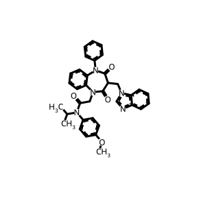 COc1ccc(N(C(=O)CN2C(=O)C(Cn3cnc4ccccc43)C(=O)N(c3ccccc3)c3ccccc32)C(C)C)cc1